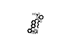 CCCCC(=O)N(Cc1ccc2cc(-c3ccccc3-c3nnn[nH]3)ccc2c1)C1(OC(=O)O)CCCCC1